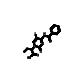 CCC(C(=O)O)n1cc(I)c(NC(=O)c2ccccc2)nc1=O